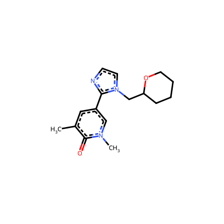 Cc1cc(-c2nccn2CC2CCCCO2)cn(C)c1=O